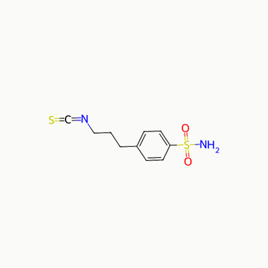 NS(=O)(=O)c1ccc(CCCN=C=S)cc1